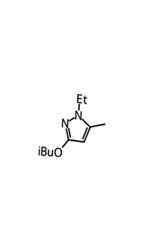 CCn1nc(OCC(C)C)cc1C